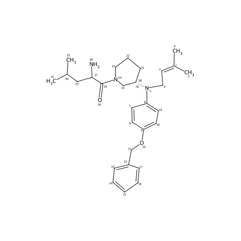 CC(C)=CCN(c1ccc(OCc2ccccc2)cc1)[C@H]1CCCN(C(=O)C(N)CC(C)C)C1